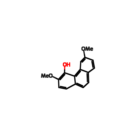 COc1ccc2ccc3ccc(OC)c(O)c3c2c1